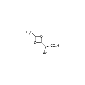 CC(=O)C(C(=O)O)C1OC(C)O1